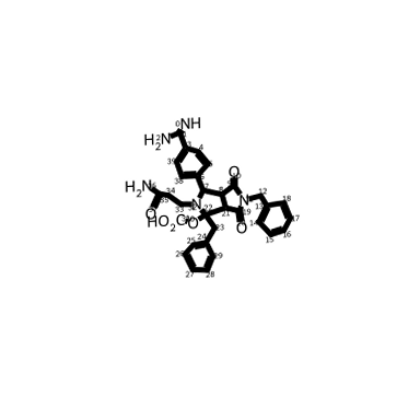 N=C(N)c1ccc(C2C3C(=O)N(Cc4ccccc4)C(=O)C3C(Cc3ccccc3)(OC(=O)O)N2CCC(N)=O)cc1